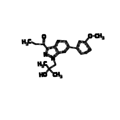 CCC(=O)c1nn(CC(C)(C)O)c2cc(-c3cccc(OC)c3)ccc12